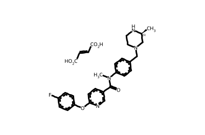 C[C@H]1CN(Cc2ccc(N(C)C(=O)c3ccc(Oc4ccc(F)cc4)nc3)cc2)CCN1.O=C(O)C=CC(=O)O